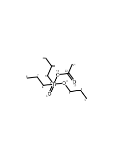 CCC[O][Ti](=[O])([CH2]CC)([CH2]CC)[O]C(C)=O